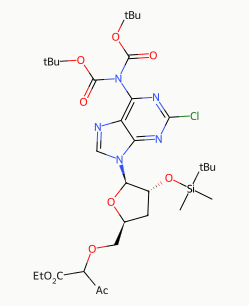 CCOC(=O)C(OC[C@@H]1C[C@@H](O[Si](C)(C)C(C)(C)C)[C@H](n2cnc3c(N(C(=O)OC(C)(C)C)C(=O)OC(C)(C)C)nc(Cl)nc32)O1)C(C)=O